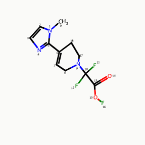 Cn1ccnc1C1=CCN(C(F)(F)C(=O)OF)CC1